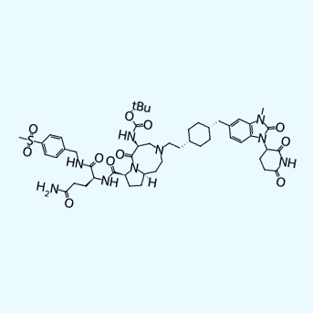 Cn1c(=O)n(C2CCC(=O)NC2=O)c2ccc(C[C@H]3CC[C@@H](CCN4CC[C@H]5CC[C@@H](C(=O)N[C@@H](CCC(N)=O)C(=O)NCc6ccc(S(C)(=O)=O)cc6)N5C(=O)[C@@H](NC(=O)OC(C)(C)C)C4)CC3)cc21